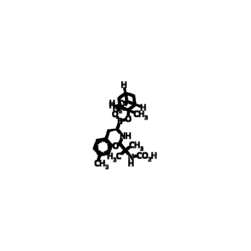 Cc1ccc(C[C@H](NC(=O)C(C)(C)NC(=O)O)B2O[C@@H]3C[C@@H]4C[C@@H](C4(C)C)[C@]3(C)O2)cc1